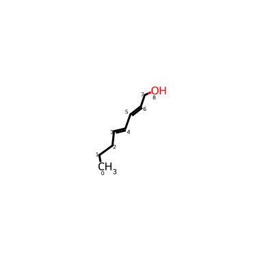 CCC/C=C/C=CCO